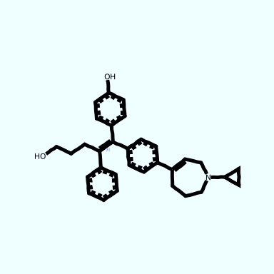 OCCC/C(=C(\c1ccc(O)cc1)c1ccc(C2=CCN(C3CC3)CCC2)cc1)c1ccccc1